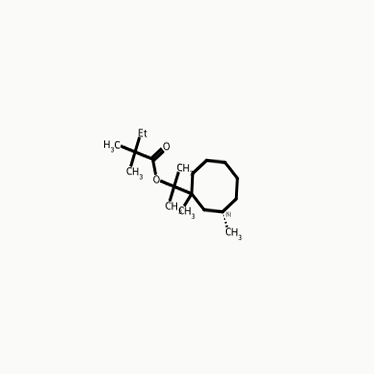 CCC(C)(C)C(=O)OC(C)(C)C1(C)CCCCC[C@H](C)C1